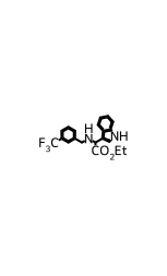 CCOC(=O)C(NCc1cccc(C(F)(F)F)c1)c1c[nH]c2ccccc12